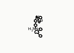 NC(/N=C1CCC/C=C(c2ccccc2)/C=C\1c1ccccc1)c1ccc(-c2ccc3c(c2)C2(c4ccccc4Oc4ccccc42)c2ncccc2-3)cc1